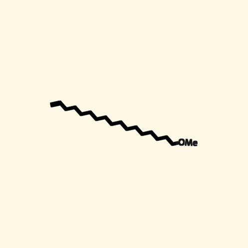 C=CCCCCCCCCCCCCCCCOC